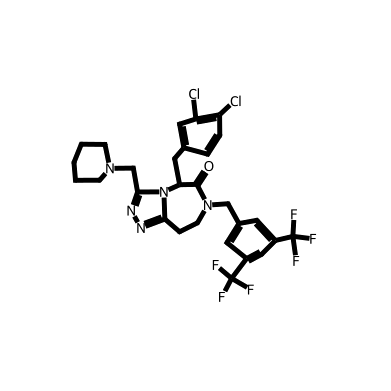 O=C1C(Cc2ccc(Cl)c(Cl)c2)n2c(nnc2CN2CCCCC2)CCN1Cc1cc(C(F)(F)F)cc(C(F)(F)F)c1